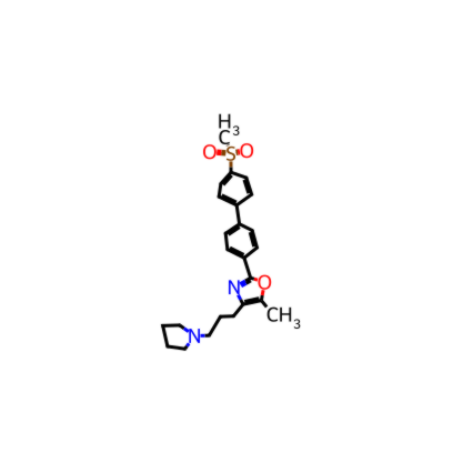 Cc1oc(-c2ccc(-c3ccc(S(C)(=O)=O)cc3)cc2)nc1CCCN1CCCC1